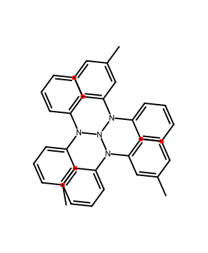 Cc1cccc(N(c2ccccc2)N(N(c2ccccc2)c2cccc(C)c2)N(c2ccccc2)c2cccc(C)c2)c1